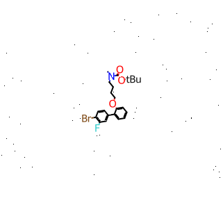 CN(CCCCOc1ccccc1-c1ccc(Br)c(F)c1)C(=O)OC(C)(C)C